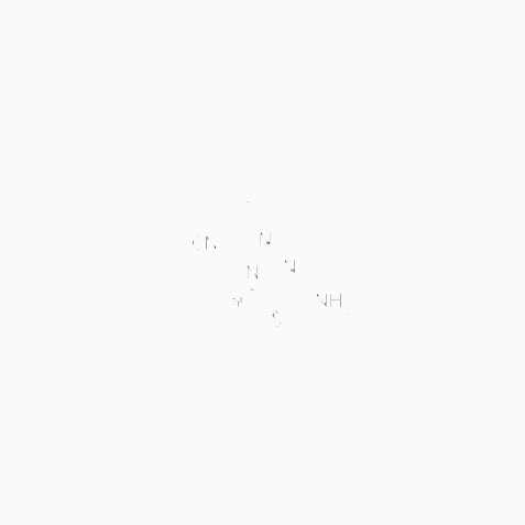 N#Cc1ccccc1Cn1c(N2CCCCC2)nc2c(N)csc2c1=O